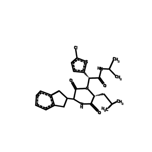 CC(C)C[C@@H]1C(=O)NC(C2Cc3ccccc3C2)C(=O)N1[C@@H](C(=O)NC(C)C)c1ccc(Cl)s1